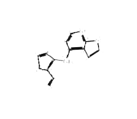 O=CC1=C(Nc2ccnc3[nH]ccc23)C=CC1